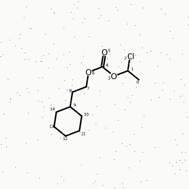 CC(Cl)OC(=O)OCCC1CCCCC1